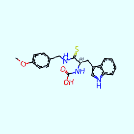 COc1ccc(CNC(=S)[C@@H](Cc2c[nH]c3ccccc23)NC(=O)O)cc1